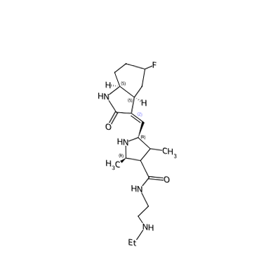 CCNCCNC(=O)C1C(C)[C@H](/C=C2\C(=O)N[C@H]3CCC(F)C[C@@H]23)N[C@@H]1C